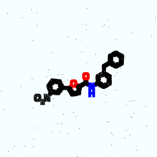 O=C(Nc1cccc(Cc2ccccc2)c1)c1ccc(-c2cccc([N+](=O)[O-])c2)o1